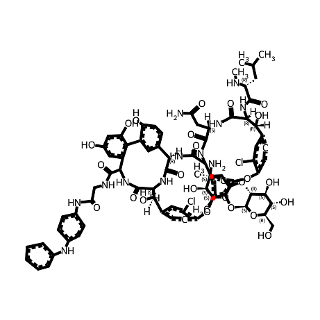 CN[C@H](CC(C)C)C(=O)N[C@H]1C(=O)N[C@@H](CC(N)=O)C(=O)NC2C(=O)N[C@H]3C(=O)N[C@H](C(=O)NC(C(=O)NCC(=O)Nc4ccc(Nc5ccccc5)cc4)c4cc(O)cc(O)c4-c4cc3ccc4O)[C@H](O)c3ccc(c(Cl)c3)Oc3cc2cc(c3O[C@@H]2O[C@H](CO)[C@@H](O)[C@H](O)[C@H]2OC2C[C@](C)(N)[C@H](O)[C@H](C)O2)Oc2ccc(cc2Cl)[C@H]1O